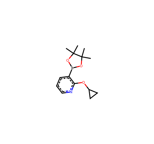 CC1(C)OB(c2cccnc2OC2CC2)OC1(C)C